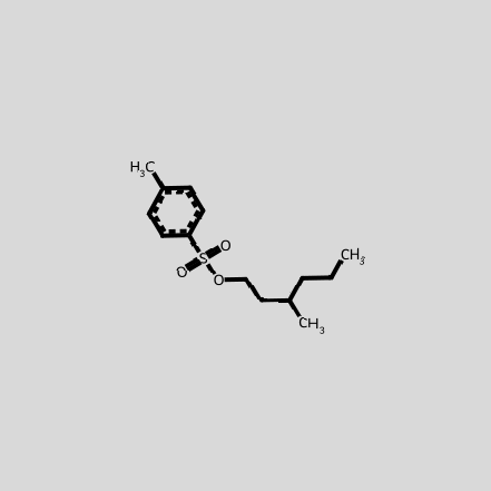 CCCC(C)CCOS(=O)(=O)c1ccc(C)cc1